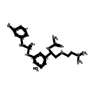 CC(=O)OC(COCCN(C)C)c1cccc(OC(=O)Nc2cccc(Cl)c2)c1.Cl